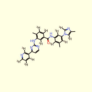 [2H]c1nc([2H])c(-c2ccnc(Nc3c([2H])c(C(=O)Nc4c([2H])c(C)c([2H])c(-n5c([2H])nc(C)c5[2H])c4[2H])c([2H])c([2H])c3C)n2)c([2H])c1[2H]